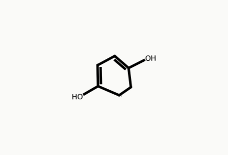 OC1=CC=C(O)C[C]1